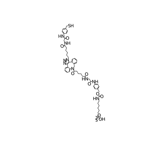 CP(O)(=S)OCCCCCCNC(=O)OCc1ccc(NC(=O)CNC(=O)CCCCC(=O)N2Cc3ccccc3-c3c(nnn3CCCCCC(=O)NCC(=O)Nc3ccc(CS)cc3)-c3ccccc32)cc1